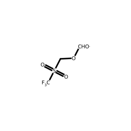 O=[C]OCS(=O)(=O)C(F)(F)F